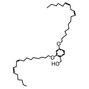 CCCCC/C=C\C/C=C\CCCCCCCCOc1ccc(CO)c(OCCCCCCCC/C=C\C/C=C\CCCCC)c1